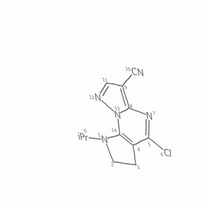 CC(C)N1CCc2c(Cl)nc3c(C#N)cnn3c21